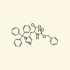 O=C(N[C@@H](Cc1cncn1C(c1ccccc1)(c1ccccc1)c1ccccc1)C(=O)O)OCc1ccccc1